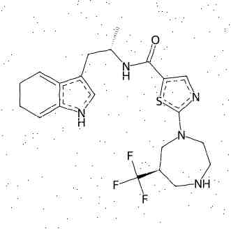 C[C@@H](Cc1c[nH]c2c1=CCCC=2)NC(=O)c1cnc(N2CCNC[C@@H](C(F)(F)F)C2)s1